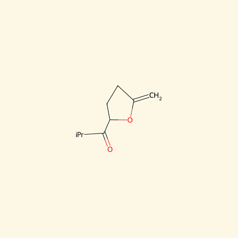 C=C1CCC(C(=O)C(C)C)O1